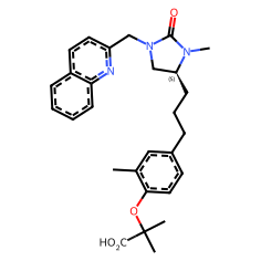 Cc1cc(CCC[C@H]2CN(Cc3ccc4ccccc4n3)C(=O)N2C)ccc1OC(C)(C)C(=O)O